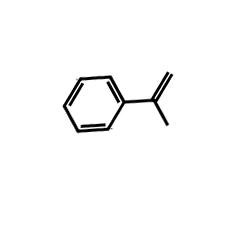 C=C(C)c1[c]cc[c]c1